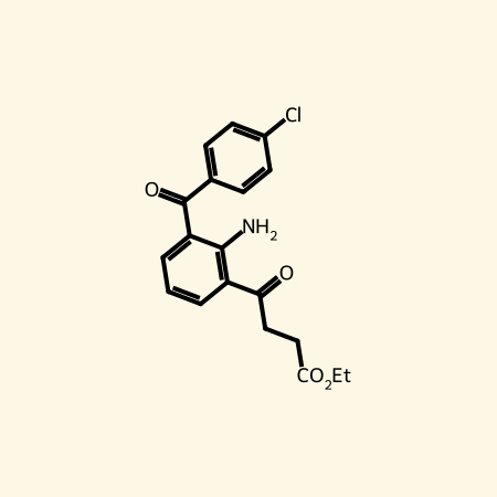 CCOC(=O)CCC(=O)c1cccc(C(=O)c2ccc(Cl)cc2)c1N